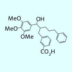 COc1cc(C(O)C(CCCc2ccccc2)Cc2cccc(C(=O)O)c2)cc(OC)c1OC